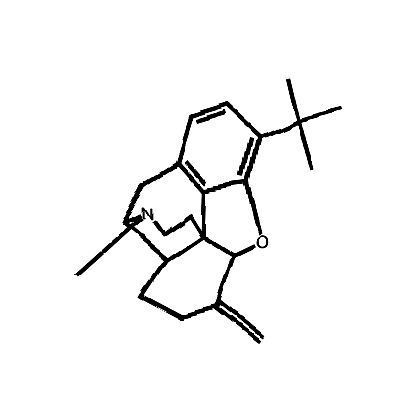 C=C1CCC2C3Cc4ccc(C(C)(C)C)c5c4C2(CCN3C)C1O5